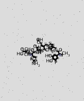 C/N=C(\C(=O)NCC12CC[N+](CC3=C(COO)N4C(=O)[C@@H](NC(=O)/C(=N\OC(C)(C)C(=O)O)c5csc(N)n5)[C@H]4S[C@H]3C)(CC1)CC2)c1cc(O)c(O)c(F)c1